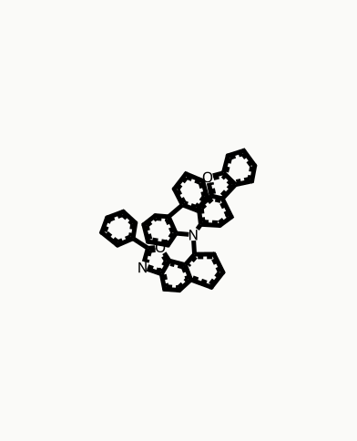 c1ccc(-c2nc3ccc4cccc(N(c5ccc6c(c5)oc5ccccc56)c5ccccc5-c5ccccc5)c4c3o2)cc1